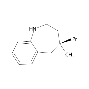 CC(C)[C@]1(C)CCNc2ccccc2C1